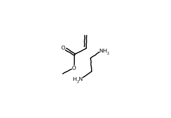 C=CC(=O)OC.NCCN